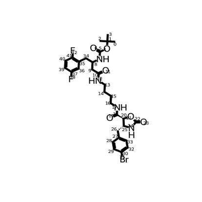 CC(C)(C)OC(=O)NC(CC(=O)NCCCCNC(=O)[C@H]1OC(=O)N[C@@H]1Cc1ccc(Br)cc1)Cc1cc(F)ccc1F